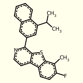 Cc1c(F)ccc2c1sc1c(-c3cc(C(C)C)c4ccccc4c3)nccc12